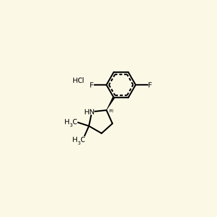 CC1(C)CC[C@H](c2cc(F)ccc2F)N1.Cl